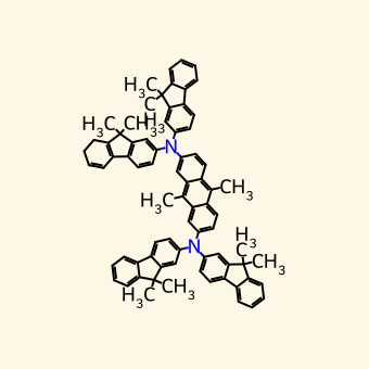 Cc1c2ccc(N(c3ccc4c(c3)C(C)(C)C3=C4C=CCC3)c3ccc4c(c3)C(C)(C)c3ccccc3-4)cc2c(C)c2cc(N(c3ccc4c(c3)C(C)(C)c3ccccc3-4)c3ccc4c(c3)C(C)(C)c3ccccc3-4)ccc12